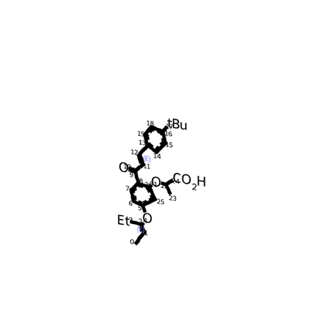 C/C=C(\CC)Oc1ccc(C(=O)/C=C/c2ccc(C(C)(C)C)cc2)c(OC(C)C(=O)O)c1